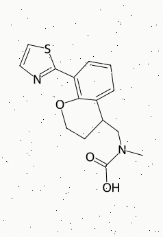 CN(CC1CCOc2c(-c3nccs3)cccc21)C(=O)O